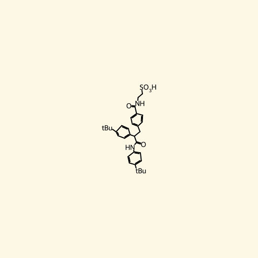 CC(C)(C)c1ccc(NC(=O)C(Cc2ccc(C(=O)NCCS(=O)(=O)O)cc2)c2ccc(C(C)(C)C)cc2)cc1